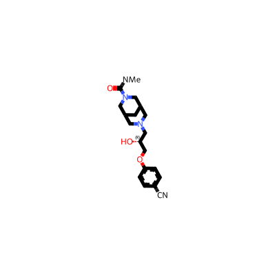 CNC(=O)N1CC2CC(CN(C[C@@H](O)COc3ccc(C#N)cc3)C2)C1